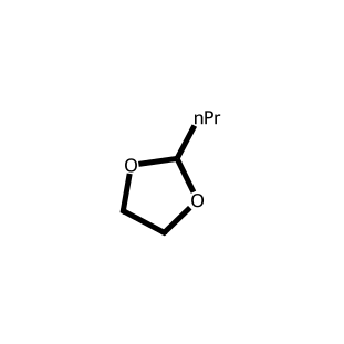 [CH2]CCC1OCCO1